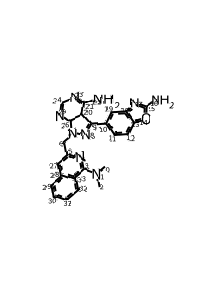 CN(C)c1nc(CN2N=C(c3ccc4oc(N)nc4c3)C3C(N)=NC=NC32)cc2ccccc12